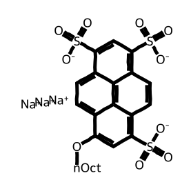 CCCCCCCCOc1cc(S(=O)(=O)[O-])c2ccc3c(S(=O)(=O)[O-])cc(S(=O)(=O)[O-])c4ccc1c2c43.[Na+].[Na+].[Na+]